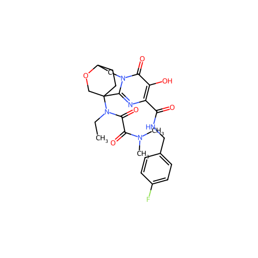 CCN(C(=O)C(=O)N(C)C)C12CCC(Cn3c1nc(C(=O)NCc1ccc(F)cc1)c(O)c3=O)OC2